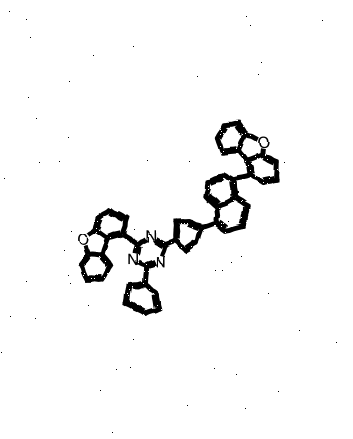 c1ccc(-c2nc(-c3ccc(-c4cccc5c(-c6cccc7oc8ccccc8c67)cccc45)cc3)nc(-c3cccc4oc5ccccc5c34)n2)cc1